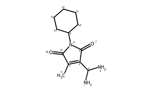 CC1=C(C(N)N)C(=O)N(C2CCCCC2)C1=O